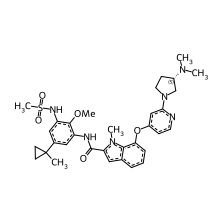 COc1c(NC(=O)c2cc3cccc(Oc4ccnc(N5CC[C@H](N(C)C)C5)c4)c3n2C)cc(C2(C)CC2)cc1NS(C)(=O)=O